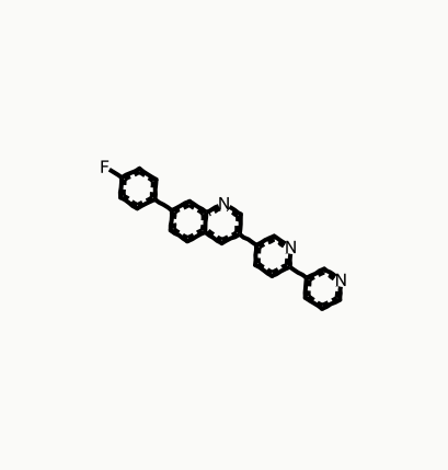 Fc1ccc(-c2ccc3cc(-c4ccc(-c5cccnc5)nc4)cnc3c2)cc1